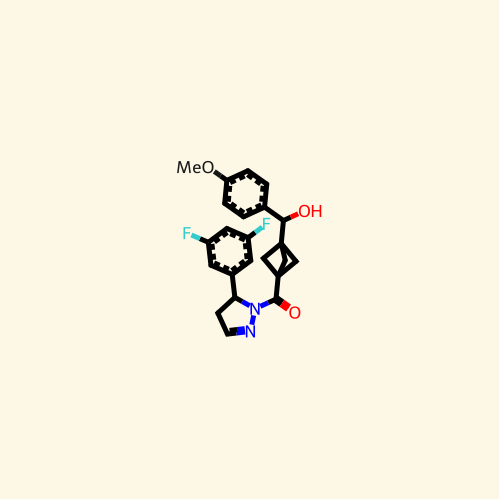 COc1ccc(C(O)C23CC(C(=O)N4N=CCC4c4cc(F)cc(F)c4)(C2)C3)cc1